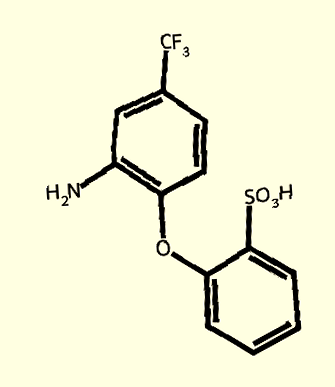 Nc1cc(C(F)(F)F)ccc1Oc1ccccc1S(=O)(=O)O